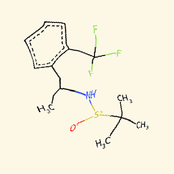 CC(N[S+]([O-])C(C)(C)C)c1ccccc1C(F)(F)F